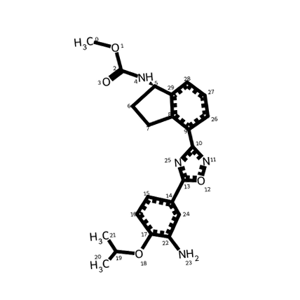 COC(=O)N[C@H]1CCc2c(-c3noc(-c4ccc(OC(C)C)c(N)c4)n3)cccc21